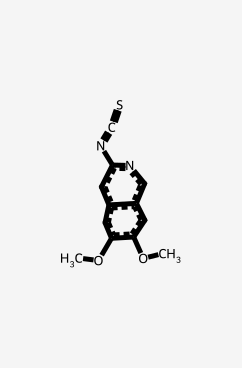 COc1cc2cnc(N=C=S)cc2cc1OC